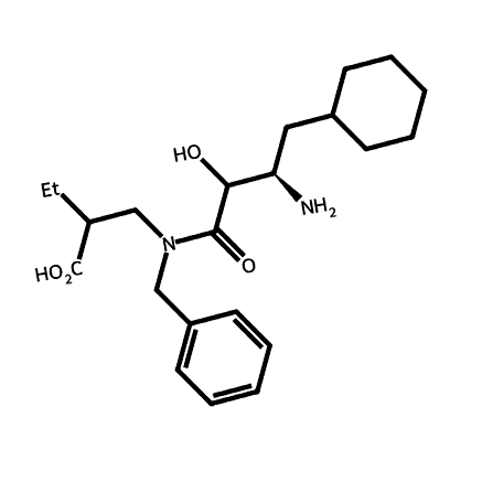 CCC(CN(Cc1ccccc1)C(=O)C(O)[C@H](N)CC1CCCCC1)C(=O)O